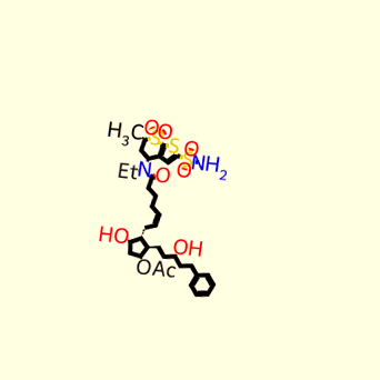 CCN(C(=O)CCC/C=C\C[C@@H]1[C@@H](CC[C@@H](O)CCc2ccccc2)[C@H](OC(C)=O)C[C@@H]1O)[C@H]1C[C@H](C)S(=O)(=O)c2sc(S(N)(=O)=O)cc21